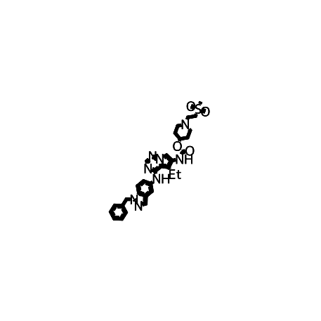 CCc1c(NC(=O)OC2CCN(CCS(C)(=O)=O)CC2)cn2ncnc(Nc3ccc4c(cnn4Cc4ccccc4)c3)c12